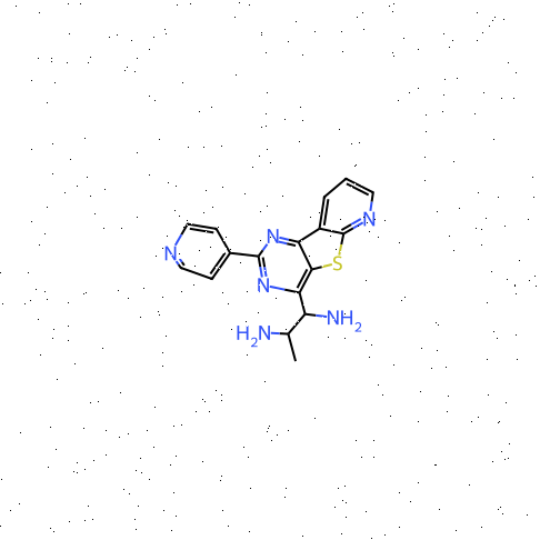 CC(N)C(N)c1nc(-c2ccncc2)nc2c1sc1ncccc12